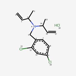 C=CC(C)N(Cc1ccc(Cl)cc1Cl)C(C)C=C.Cl